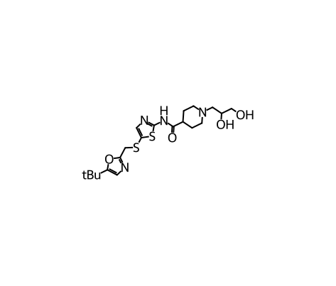 CC(C)(C)c1cnc(CSc2cnc(NC(=O)C3CCN(CC(O)CO)CC3)s2)o1